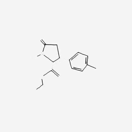 CCOC(=O)[C@H]1[C@@H](c2ccc(O)cc2)CC(=O)N1C